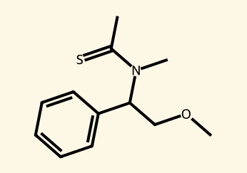 COCC(c1ccccc1)N(C)C(C)=S